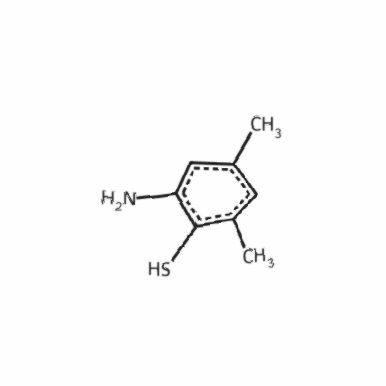 Cc1cc(C)c(S)c(N)c1